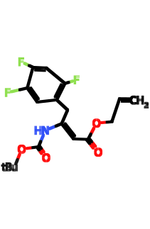 C=CCOC(=O)C=C(Cc1cc(F)c(F)cc1F)NC(=O)OC(C)(C)C